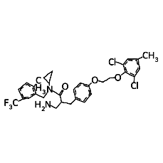 Cc1cc(Cl)c(OCCOc2ccc(CC(CN)C(=O)N(Cc3cc(C(F)(F)F)ccc3C)C3CC3)cc2)c(Cl)c1